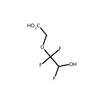 O=C(O)COC(F)(F)C(O)F